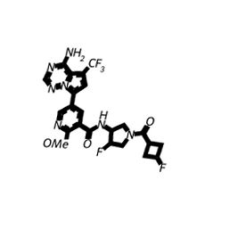 COc1ncc(-c2cc(C(F)(F)F)c3c(N)ncnn23)cc1C(=O)NC1CN(C(=O)C2CC(F)C2)CC1F